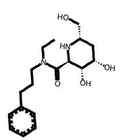 CCN(CCCc1ccccc1)C(=O)[C@H]1N[C@H](CO)C[C@H](O)[C@@H]1O